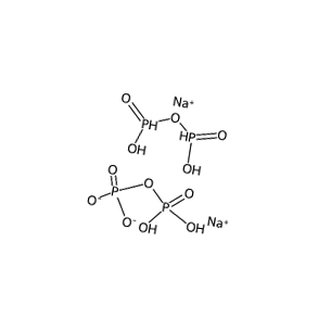 O=P([O-])([O-])OP(=O)(O)O.O=[PH](O)O[PH](=O)O.[Na+].[Na+]